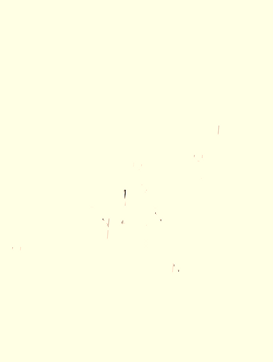 COc1ccc(C(=O)N[C@@H](CS(=O)(=O)Cc2ccccc2OC(F)F)C(=O)NCC#N)cc1